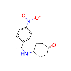 C[C@@H](NC1CCC(=O)CC1)c1ccc([N+](=O)[O-])cc1